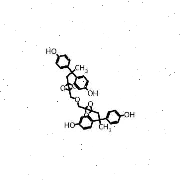 CC(CC12OC1(COCC13OC1(CC(C)(c1ccc(O)cc1)c1ccc(O)cc1)O3)O2)(c1ccc(O)cc1)c1ccc(O)cc1